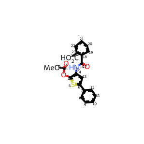 COC(=O)Oc1sc(-c2ccccc2)cc1NC(=O)c1ccccc1C(=O)O